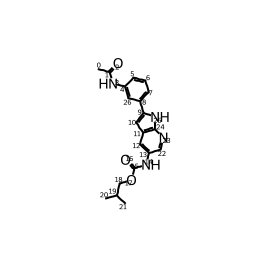 CC(=O)Nc1cccc(-c2cc3cc(NC(=O)OCC(C)C)cnc3[nH]2)c1